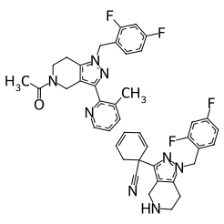 CC(=O)N1CCc2c(c(-c3ncccc3C)nn2Cc2ccc(F)cc2F)C1.N#CC1(c2nn(Cc3ccc(F)cc3F)c3c2CNCC3)C=CC=CC1